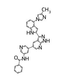 Cc1cn(-c2cccc3[nH]c(-c4n[nH]c5ncc(-c6cncc(NC(=O)c7ccccc7)c6)cc45)cc23)cn1